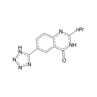 CCCc1nc2ccc(-c3nnn[nH]3)cc2c(=O)[nH]1